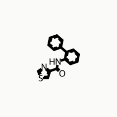 O=C(Nc1ccccc1-c1ccccc1)c1cscn1